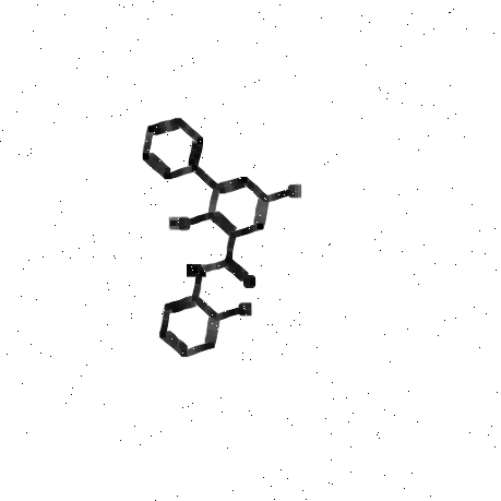 O=C(Nc1ccccc1Cl)c1cc(Cl)cc(-c2ccccc2)c1O